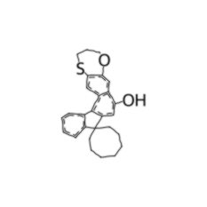 Oc1cc2c(c3cc4c(cc13)OCCCS4)-c1ccccc1C21CCCCCCC1